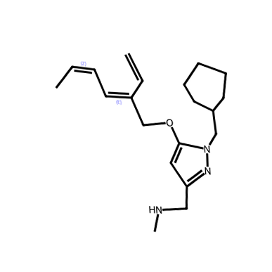 C=C/C(=C\C=C/C)COc1cc(CNC)nn1CC1CCCCC1